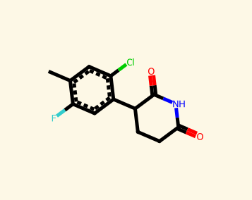 Cc1cc(Cl)c(C2CCC(=O)NC2=O)cc1F